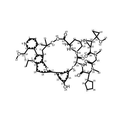 CCn1c(-c2cccnc2[C@H](C)OC)c2c3cc(ccc31)-c1cc(O)cc(c1)C[C@H](NC(=O)C(C1CCCC1)N(C)C(=O)CN(C)C(=O)[C@H]1N[C@H]1C1(OC)CC1)C(=O)N1CCC[C@H](N1)C(=O)OCC(C)(C)C2